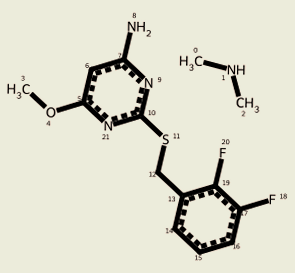 CNC.COc1cc(N)nc(SCc2cccc(F)c2F)n1